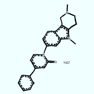 CN1CCc2c(c3ccc(-n4ccc(-c5ccccc5)cc4=O)cc3n2C)C1.Cl